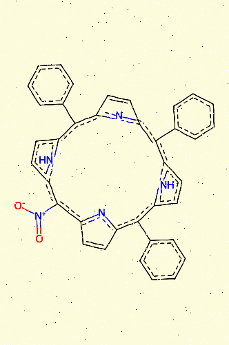 O=[N+]([O-])c1c2nc(c(-c3ccccc3)c3ccc([nH]3)c(-c3ccccc3)c3nc(c(-c4ccccc4)c4ccc1[nH]4)C=C3)C=C2